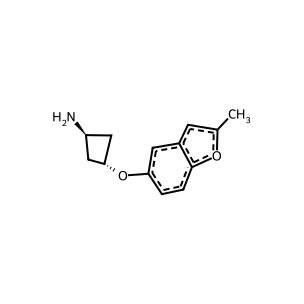 Cc1cc2cc(O[C@H]3C[C@H](N)C3)ccc2o1